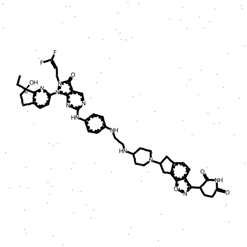 CC[C@@]1(O)CCc2ccc(-n3c4nc(Nc5ccc(NCCNC6CCN(C7Cc8ccc9c(C%10CCC(=O)NC%10=O)noc9c8C7)CC6)cc5)ncc4c(=O)n3CC=C(F)F)nc21